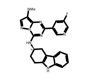 CNc1cnn2c(N[C@@H]3CCc4[nH]c5ccccc5c4C3)nc(-c3cncc(F)c3)nc12